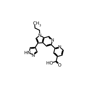 CCCn1cc(-c2cn[nH]c2)c2cc(-c3cc(C(=O)O)ccn3)ncc21